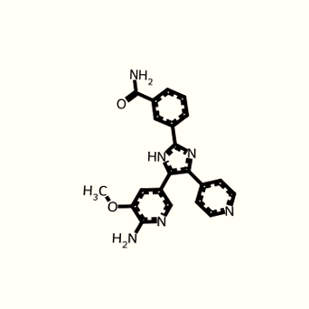 COc1cc(-c2[nH]c(-c3cccc(C(N)=O)c3)nc2-c2ccncc2)cnc1N